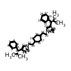 CC(C)[C@H](c1ccccc1)c1cn(CCC2CCC(CCn3cc([C@@H](c4ccccc4)C(C)C)nn3)CC2)nn1